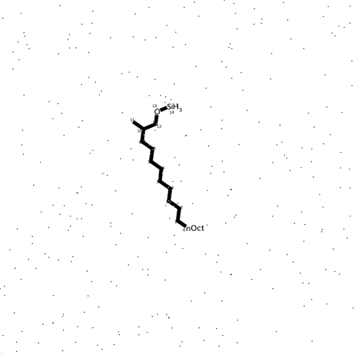 CCCCCCCCCCCCCCCCCC(C)CO[SiH3]